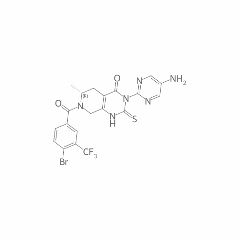 C[C@@H]1Cc2c([nH]c(=S)n(-c3ncc(N)cn3)c2=O)CN1C(=O)c1ccc(Br)c(C(F)(F)F)c1